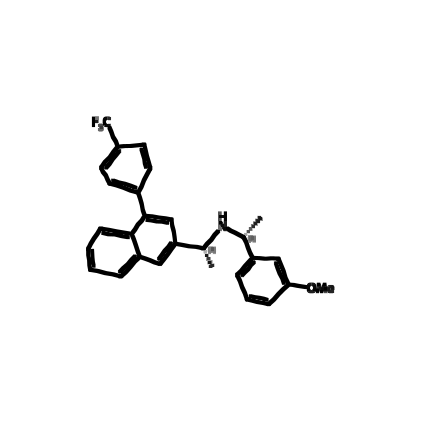 COc1cccc([C@@H](C)N[C@H](C)c2cc(-c3ccc(C(F)(F)F)cc3)c3ccccc3c2)c1